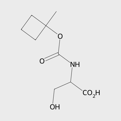 CC1(OC(=O)NC(CO)C(=O)O)CCC1